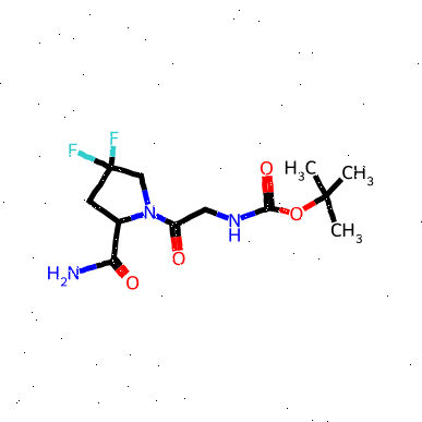 CC(C)(C)OC(=O)NCC(=O)N1CC(F)(F)CC1C(N)=O